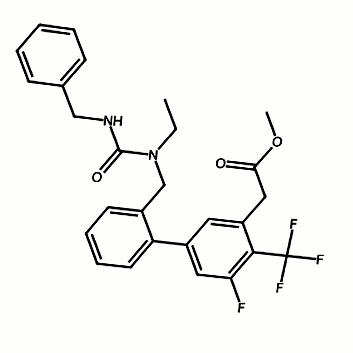 CCN(Cc1ccccc1-c1cc(F)c(C(F)(F)F)c(CC(=O)OC)c1)C(=O)NCc1ccccc1